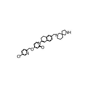 O=c1cc(OCc2ccc(Cl)cn2)ccn1C1=Cc2ccc(CN3CCCC4(CCNC4)C3)cc2CC1